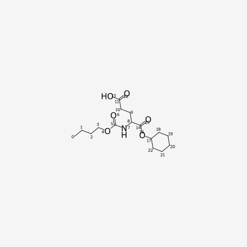 CCCCOC(=O)NC(CCC(=O)O)C(=O)OC1CCCCC1